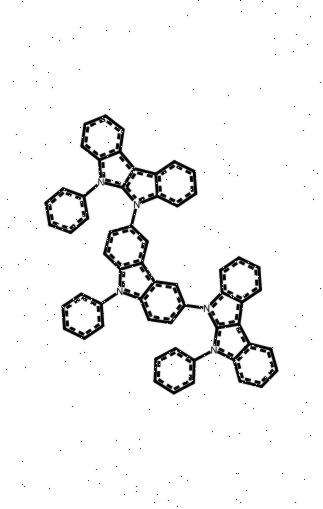 c1ccc(-n2c3ccc(-n4c5ccccc5c5c6ccccc6n(-c6ccccc6)c54)cc3c3cc(-n4c5ccccc5c5c6ccccc6n(-c6ccccc6)c54)ccc32)cc1